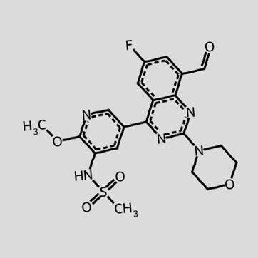 COc1ncc(-c2nc(N3CCOCC3)nc3c(C=O)cc(F)cc23)cc1NS(C)(=O)=O